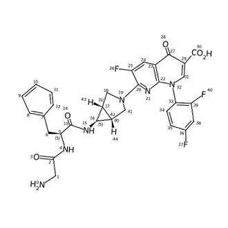 NCC(=O)N[C@@H](Cc1ccccc1)C(=O)N[C@H]1[C@@H]2CN(c3nc4c(cc3F)c(=O)c(C(=O)O)cn4-c3ccc(F)cc3F)C[C@@H]21